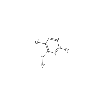 Clc1c[c]c(Br)cc1CBr